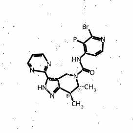 C[C@@H]1[C@@H](C)c2n[nH]c(-c3ncccn3)c2CN1C(=O)Nc1ccnc(Br)c1F